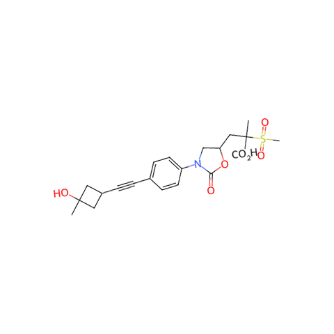 CC1(O)CC(C#Cc2ccc(N3CC(CC(C)(C(=O)O)S(C)(=O)=O)OC3=O)cc2)C1